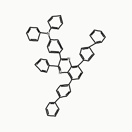 c1ccc(-c2ccc(-c3ccc(-c4ccc(-c5ccccc5)cc4)c4nc(-c5ccc(N(c6ccccc6)c6ccccc6)cc5)c(-c5ccccc5)nc34)cc2)cc1